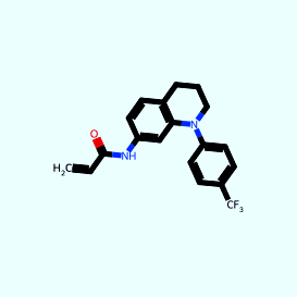 C=CC(=O)Nc1ccc2c(c1)N(c1ccc(C(F)(F)F)cc1)CCC2